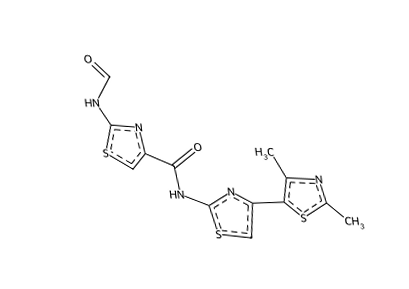 Cc1nc(C)c(-c2csc(NC(=O)c3csc(NC=O)n3)n2)s1